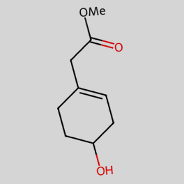 COC(=O)CC1=CCC(O)CC1